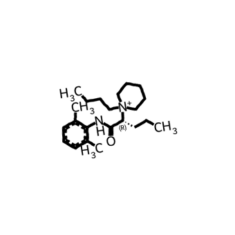 CCCC[N+]1([C@H](CCC)C(=O)Nc2c(C)cccc2C)CCCCC1